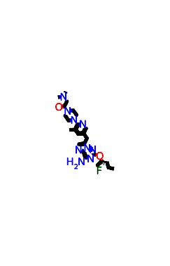 CCC[C@@H](CF)Oc1nc(N)c2ncc(Cc3cnc(N4CCN(C(=O)CN(C)C)CC4)c(C)c3)n2n1